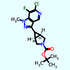 Cn1nc(C2[C@H]3CN(C(=O)OC(C)(C)C)C[C@@H]23)c2cnc(Cl)c(F)c21